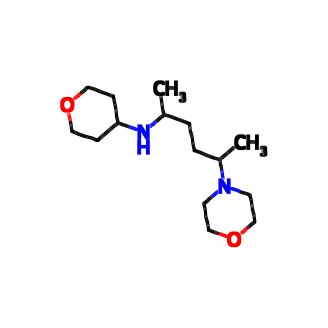 CC(CCC(C)N1CCOCC1)NC1CCOCC1